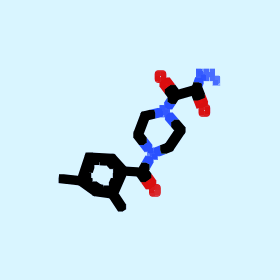 Cc1ccc(C(=O)N2CCN(C(=O)C(N)=O)CC2)c(C)c1